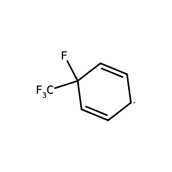 FC(F)(F)C1(F)C=C[CH]C=C1